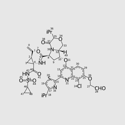 C=C[C@@H]1C[C@]1(NC(=O)[C@@H]1C[C@@H](Oc2cc(-c3nc(C(C)C)cs3)nc3c(Cl)c(OCC=O)ccc23)[C@H]2COC(C(C)C)C(=O)N21)C(=O)NS(=O)(=O)C1CC1